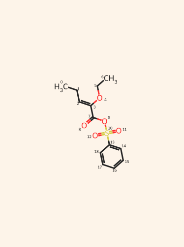 CCC=C(OCC)C(=O)OS(=O)(=O)c1ccccc1